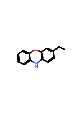 CCc1ccc2c(c1)Oc1ccccc1N2